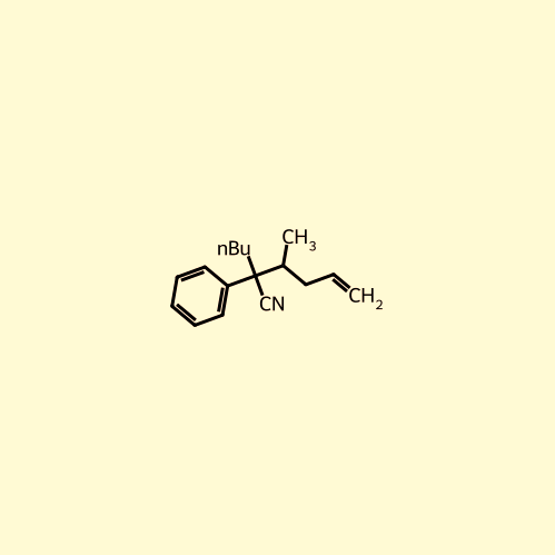 C=CCC(C)C(C#N)(CCCC)c1ccccc1